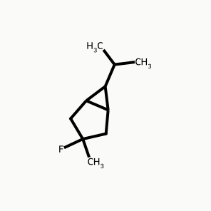 CC(C)C1C2CC(C)(F)CC21